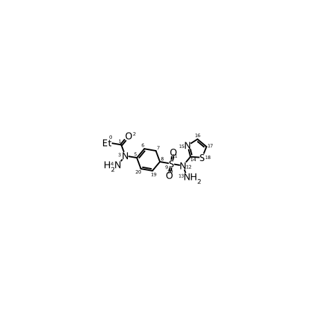 CCC(=O)N(N)C1=CCC(S(=O)(=O)N(N)c2nccs2)C=C1